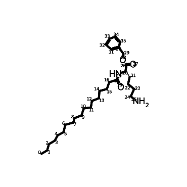 CCCCCCCCCCCCCCCCCC(=O)N[C@@H](CCCCN)C(=O)OCc1ccccc1